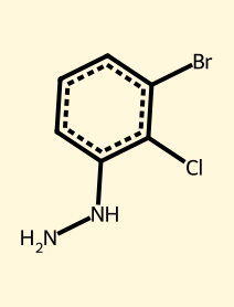 NNc1cccc(Br)c1Cl